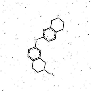 CN1CCc2ncc(Nc3ncc4c(n3)CNCC4)cc2C1